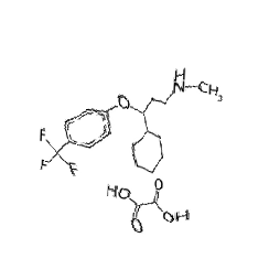 CNCCC(Oc1ccc(C(F)(F)F)cc1)C1CCCCC1.O=C(O)C(=O)O